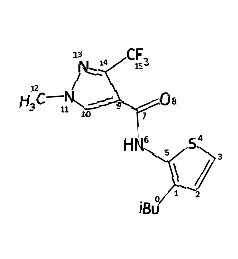 CCC(C)c1ccsc1NC(=O)c1cn(C)nc1C(F)(F)F